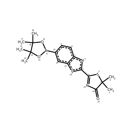 CC1(C)SC(c2nc3ccc(B4OC(C)(C)C(C)(C)O4)cc3s2)=NC1=O